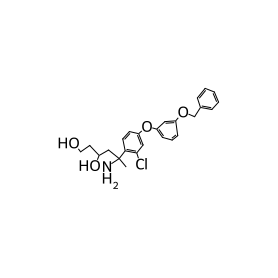 CC(N)(CC(O)CCO)c1ccc(Oc2cccc(OCc3ccccc3)c2)cc1Cl